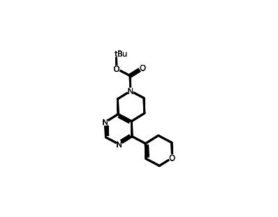 CC(C)(C)OC(=O)N1CCc2c(ncnc2C2=CCOCC2)C1